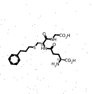 N[C@@H](CCC(=O)N[C@@H](CSCCCc1ccccc1)C(=O)NCC(=O)O)C(=O)O